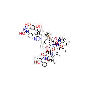 CC[C@H](C)[C@@H]([C@@H](CC(=O)N1CCC[C@H]1[C@H](OC)[C@@H](C)C(=O)N[C@H](C)[C@@H](O)c1ccccc1)OC)N(C)C(=O)[C@@H](NC(=O)[C@H](C(C)C)N(C)C(=O)OCCSSC(C)(C)CCN1CCN(Cc2ccc(-n3c(O)nnc3-c3cc(C(C)C)c(O)cc3O)cc2)CC1)C(C)C